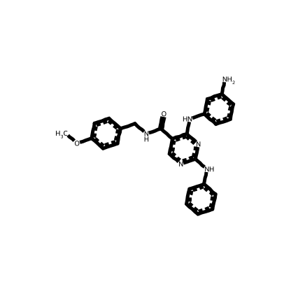 COc1ccc(CNC(=O)c2cnc(Nc3ccccc3)nc2Nc2cccc(N)c2)cc1